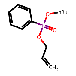 C=CCOP(=O)(OCCCC)c1ccccc1